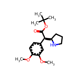 COc1ccc(C(C(=O)OC(C)(C)C)=C2CCCN2)cc1OC